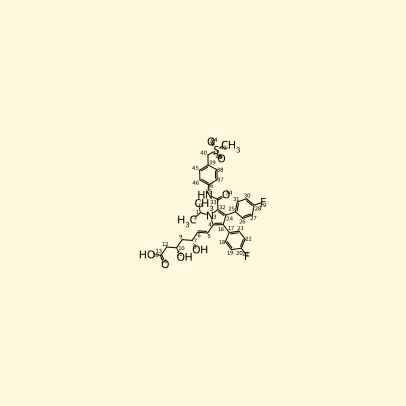 CC(C)n1c(C=C[C@H](O)C[C@@H](O)CC(=O)O)c(-c2ccc(F)cc2)c(-c2ccc(F)cc2)c1C(=O)Nc1ccc(CS(C)(=O)=O)cc1